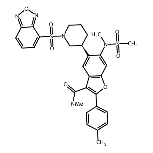 CNC(=O)c1c(-c2ccc(C)cc2)oc2cc(N(C)S(C)(=O)=O)c([C@@H]3CCCN(S(=O)(=O)c4cccc5nonc45)C3)cc12